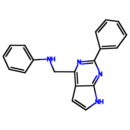 c1ccc(NCc2nc(-c3ccccc3)nc3[nH]ccc23)cc1